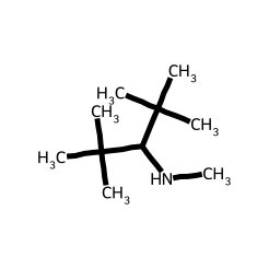 CNC(C(C)(C)C)C(C)(C)C